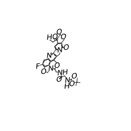 CC[C@@]1(O)C(=O)OCc2c1cc1n(c2=O)Cc2c-1nc1cc(F)c3c(c1c2C)N(C(=O)CNC(=O)CNC(=O)OC(C)(C)C)CO3